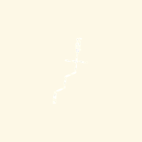 [C-]#[N+]C(C)(C)CCCC=C